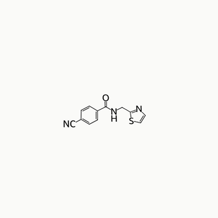 N#Cc1ccc(C(=O)NCc2nccs2)cc1